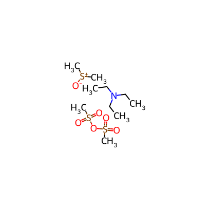 CCN(CC)CC.CS(=O)(=O)OS(C)(=O)=O.C[S+](C)[O-]